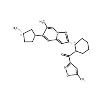 Cc1cc(C(=O)N2CCCC[C@H]2c2cc3nc(N4CC[C@H](C)C4)c(C)cn3n2)no1